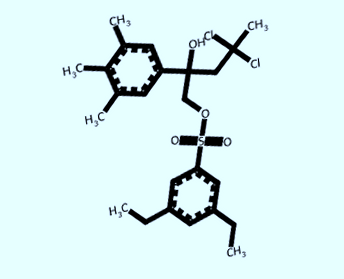 CCc1cc(CC)cc(S(=O)(=O)OCC(O)(CC(C)(Cl)Cl)c2cc(C)c(C)c(C)c2)c1